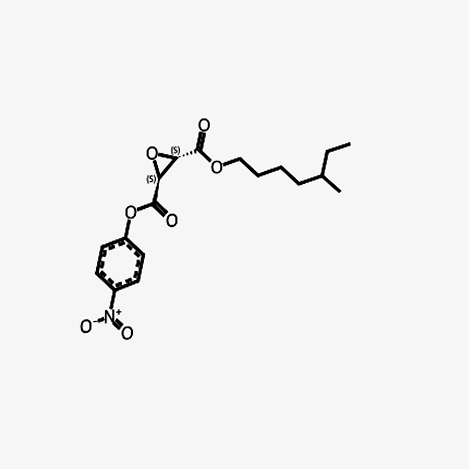 CCC(C)CCCCOC(=O)[C@H]1O[C@@H]1C(=O)Oc1ccc([N+](=O)[O-])cc1